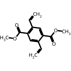 C=Cc1cc(C(=O)OC)c(C=C)cc1C(=O)OC